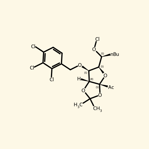 CCCC[C@H](OCl)[C@H]1O[C@]2(C(C)=O)OC(C)(C)O[C@@H]2[C@H]1OCc1ccc(Cl)c(Cl)c1Cl